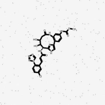 COC(=O)Nc1ccc2c(c1)NC(=O)CC(O)C(O)[C@H](NC(=O)/C=C/c1cc(Cl)ccc1-n1cnnn1)c1nc-2c[nH]1